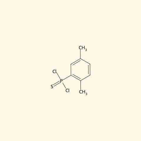 Cc1ccc(C)c(P(=S)(Cl)Cl)c1